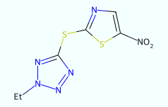 CCn1nnc(Sc2ncc([N+](=O)[O-])s2)n1